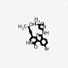 Cc1cc(Nc2nc3c(C#C[C@H](C)O)c[nH]c(=O)c3c3cc(Br)ccc23)no1